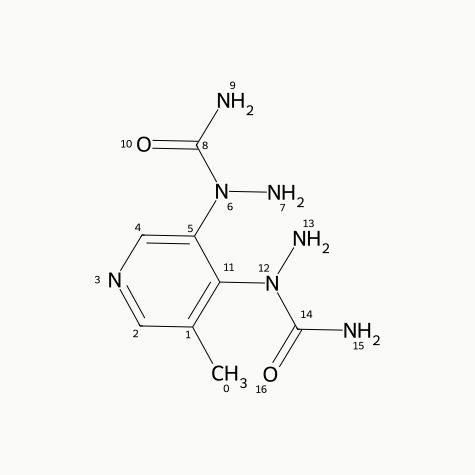 Cc1cncc(N(N)C(N)=O)c1N(N)C(N)=O